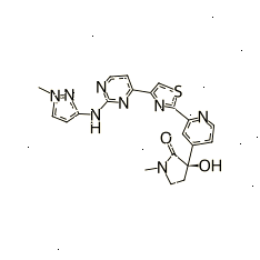 CN1CC[C@@](O)(c2ccnc(-c3nc(-c4ccnc(Nc5ccn(C)n5)n4)cs3)c2)C1=O